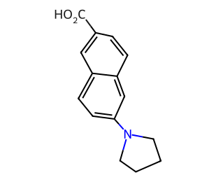 O=C(O)c1ccc2cc(N3CCCC3)ccc2c1